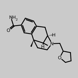 C[C@H]1[C@H]2Cc3ccc(C(N)=O)cc3[C@@]1(C)CCN2CC1CCCO1